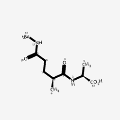 C[C@H](NC(=O)[C@@H](C)CCC(=O)NC(C)(C)C)C(=O)O